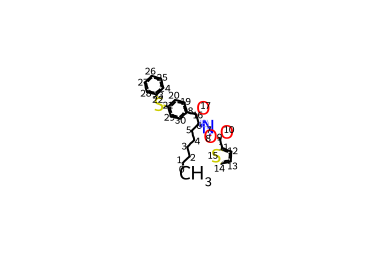 CCCCCC/C(=N\OC(=O)c1cccs1)C(=O)c1ccc(Sc2ccccc2)cc1